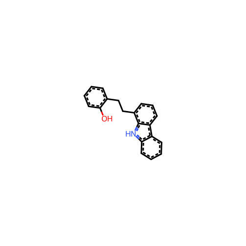 Oc1ccccc1CCc1cccc2c1[nH]c1ccccc12